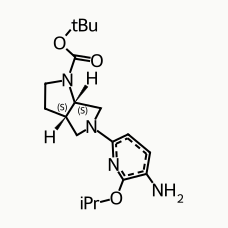 CC(C)Oc1nc(N2C[C@@H]3CCN(C(=O)OC(C)(C)C)[C@@H]3C2)ccc1N